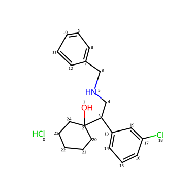 Cl.OC1(C(CNCc2ccccc2)c2cccc(Cl)c2)CCCCC1